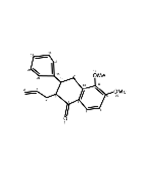 C=CCC1C(=O)c2ccc(OC)c(OC)c2CC1c1ccccc1